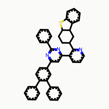 c1ccc(-c2nc(-c3ccc(-c4ccccc4)c(-c4ccccc4)c3)cc(-c3cccnc3C3CCC4Sc5ccccc5C4C3)n2)cc1